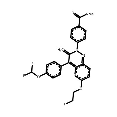 C=C1C(c2ccc(OC(F)F)cc2)=c2nc(OCCF)ccc2=NN1c1ccc(C(=O)NC)cc1